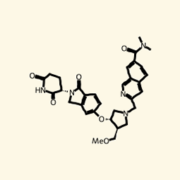 COC[C@@H]1CN(Cc2cc3ccc(C(=O)N(C)C)cc3cn2)C[C@H]1Oc1ccc2c(c1)CN([C@H]1CCC(=O)NC1=O)C2=O